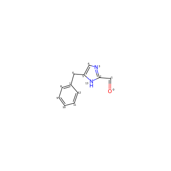 O=[C]c1ncc(Cc2ccccc2)[nH]1